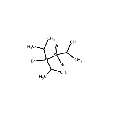 CC(C)[Si](Br)(Br)[Si](Br)(C(C)C)C(C)C